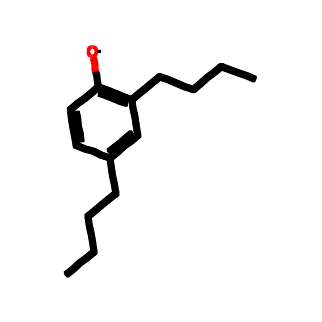 CCCCc1ccc([O])c(CCCC)c1